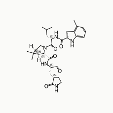 Cc1cccc2[nH]c(C(=O)N[C@@H](CC(C)C)C(=O)N3C[C@H]4[C@@H]([C@H]3C(=O)N[C@H](C=O)C[C@@H]3CCNC3=O)C4(C)C)cc12